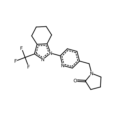 O=C1CCCN1Cc1ccc(-n2nc(C(F)(F)F)c3c2CCCC3)nc1